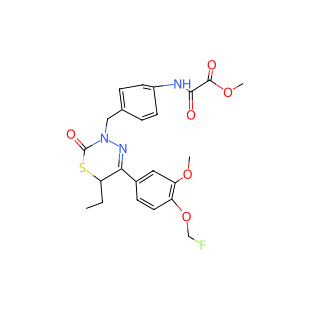 CCC1SC(=O)N(Cc2ccc(NC(=O)C(=O)OC)cc2)N=C1c1ccc(OCF)c(OC)c1